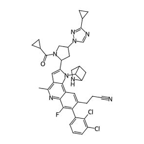 Cc1nc2c(F)c(-c3cccc(Cl)c3Cl)c(CCC#N)cc2c2c1cc(C1CC(n3cnc(C4CC4)n3)CN1C(=O)C1CC1)n2C1C2CNC1C2